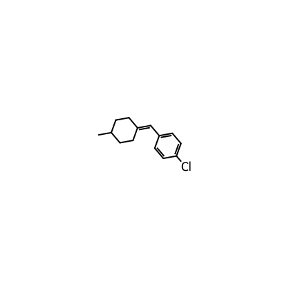 CC1CCC(=Cc2ccc(Cl)cc2)CC1